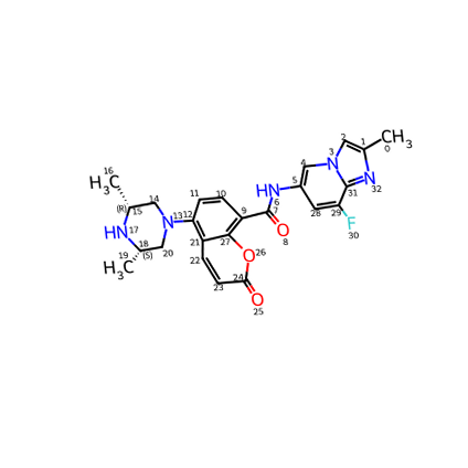 Cc1cn2cc(NC(=O)c3ccc(N4C[C@@H](C)N[C@@H](C)C4)c4ccc(=O)oc34)cc(F)c2n1